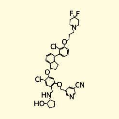 N#Cc1cncc(COc2cc(O[C@H]3CCc4c(-c5cccc(OCCCN6CCC(F)(F)CC6)c5Cl)cccc43)c(Cl)cc2CN[C@@H]2CCC[C@H]2O)c1